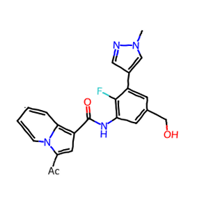 CC(=O)c1cc(C(=O)Nc2cc(CO)cc(-c3cnn(C)c3)c2F)c2c[c]ccn12